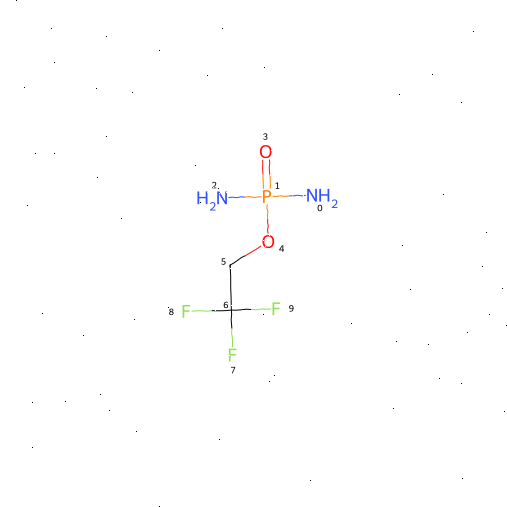 NP(N)(=O)OCC(F)(F)F